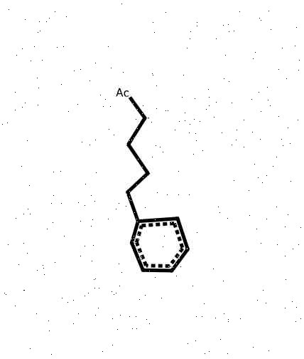 CC(=O)[CH]CCCc1ccccc1